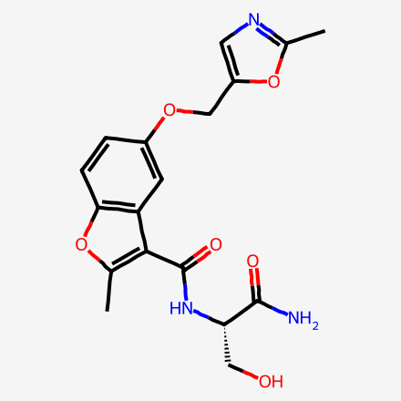 Cc1ncc(COc2ccc3oc(C)c(C(=O)N[C@@H](CO)C(N)=O)c3c2)o1